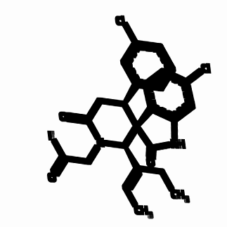 C/C=C(\CC)[C@H]1N(CC(=O)F)C(=O)C[C@@H](c2cccc(Cl)c2)[C@]12C(=O)Nc1cc(Cl)ccc12